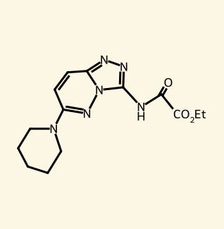 CCOC(=O)C(=O)Nc1nnc2ccc(N3CCCCC3)nn12